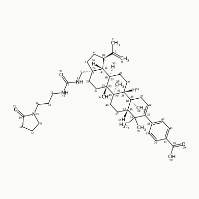 C=C(C)[C@@H]1CC[C@]2(CNC(=O)NCCCN3CCCC3=O)CC[C@]3(C)[C@H](CC[C@@H]4[C@@]5(C)CC=C(c6ccc(C(=O)O)cc6)C(C)(C)[C@@H]5CC[C@]43C)[C@@H]12